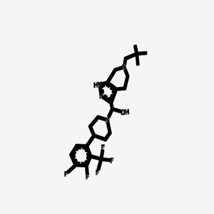 CC(C)(C)CN1CCc2c(C(O)N3CCC(c4ccc(F)c(F)c4C(F)(F)F)CC3)n[nH]c2C1